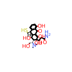 CN(C)[C@H](CO)[C@@H]1[C@@H](O)[C@H]2C(=C(O)[C@]1(O)C(=O)CC(N)=O)C(=O)c1c(O)cccc1[C@@H]2CS